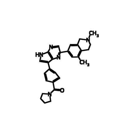 Cc1cc(-c2cnc3[nH]cc(-c4ccc(C(=O)N5CCCC5)cc4)c3n2)cc2c1CCN(C)C2